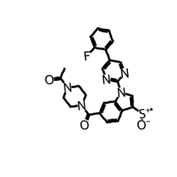 CC(=O)N1CCN(C(=O)c2ccc3c([S+](C)[O-])cn(-c4ncc(-c5ccccc5F)cn4)c3c2)CC1